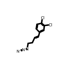 [N-]=[N+]=NCC/C=C/c1ccc(Cl)c(Cl)c1